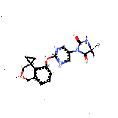 CC[C@@]1(C)NC(=O)N(c2cnc(Oc3cccc4c3C3(CC3)COC4)nc2)C1=O